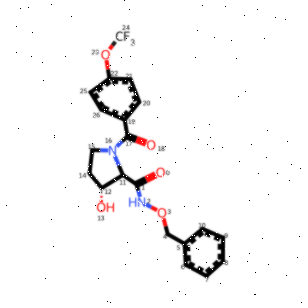 O=C(NOCc1ccccc1)C1[C@H](O)CCN1C(=O)c1ccc(OC(F)(F)F)cc1